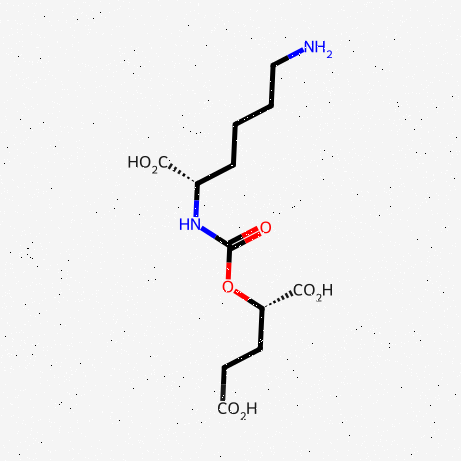 NCCCC[C@H](NC(=O)O[C@@H](CCC(=O)O)C(=O)O)C(=O)O